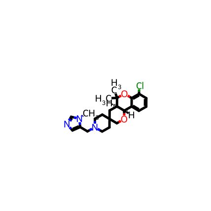 Cn1cncc1CN1CCC2(CC1)CO[C@H]1c3cccc(Cl)c3OC(C)(C)[C@@H]1C2